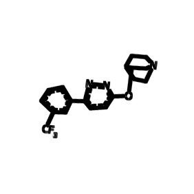 FC(F)(F)c1cccc(-c2ccc(OC3CN4CCC3CC4)nn2)c1